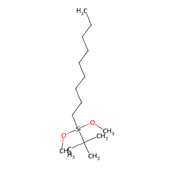 CCCCCCCCC[Si](OC)(OC)C(C)(C)C